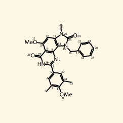 COc1c(C)cc(-c2nc3c(c(OC)cc4c3n(Cc3ccccc3)c(=O)n4C)c(=O)[nH]2)cc1C